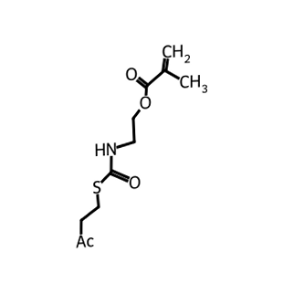 C=C(C)C(=O)OCCNC(=O)SCCC(C)=O